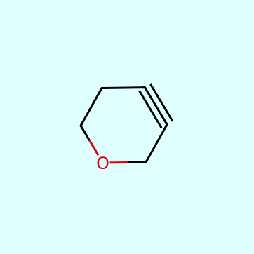 C1#CCOCC1